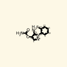 NC(=O)Oc1cnn(-c2ccccc2F)c1N